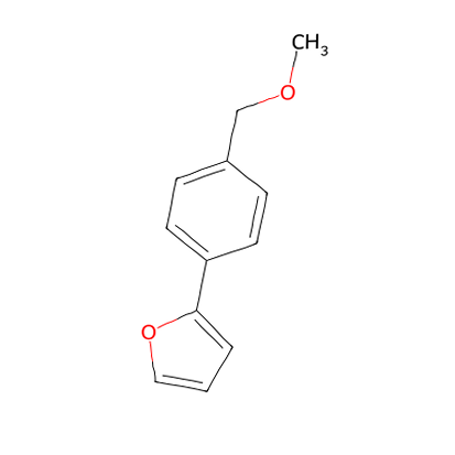 COCc1ccc(-c2ccco2)cc1